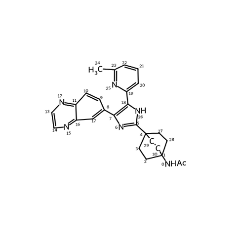 CC(=O)NC12CCC(c3nc(-c4ccc5nccnc5c4)c(-c4cccc(C)n4)[nH]3)(CC1)CC2